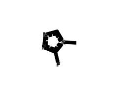 Cn1cnnc1F